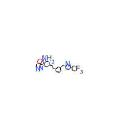 NC(=O)C1(c2cccnn2)CCC(=CCc2cccc(Cc3ccc(C(F)(F)F)cn3)c2)CC1